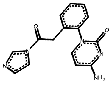 Nc1ccn(-c2ccccc2CC(=O)n2ccnc2)c(=O)n1